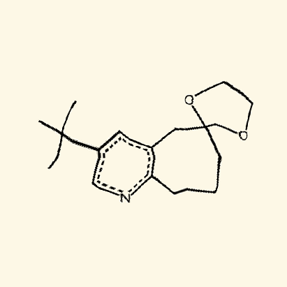 CC(C)(C)c1cnc2c(c1)CC1(CCC2)OCCO1